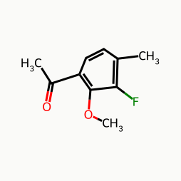 COc1c(C(C)=O)ccc(C)c1F